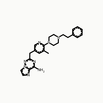 Cc1cc(Cc2nc(N)c3nccn3n2)cnc1N1CCN(CCc2ccccc2)CC1